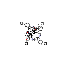 CCN(CC)S(=O)(=O)O[Si]1(OS(=O)(=O)N(CC)CC)n2c3c4cc(Cl)ccc4c2/N=C2N=C(/N=c4/c5cc(Cl)ccc5/c(n41)=N/C1=NC(=N\3)/c3ccc(Cl)cc31)c1ccc(Cl)cc1\2